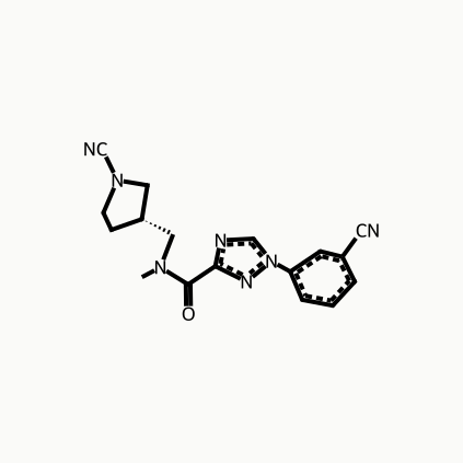 CN(C[C@@H]1CCN(C#N)C1)C(=O)c1ncn(-c2cccc(C#N)c2)n1